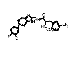 O=C(O)NC(Cc1cccc(C(F)(F)F)c1)C(=O)NCc1nc2ccc(-c3ccc(F)c(Cl)c3)cc2[nH]1